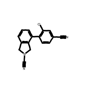 N#Cc1ccc(-c2cccc3c2CN(C#N)C3)c(Cl)c1